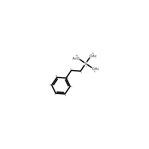 CC(=O)O[Si](CCc1ccccc1)(OC(C)=O)OC(C)=O